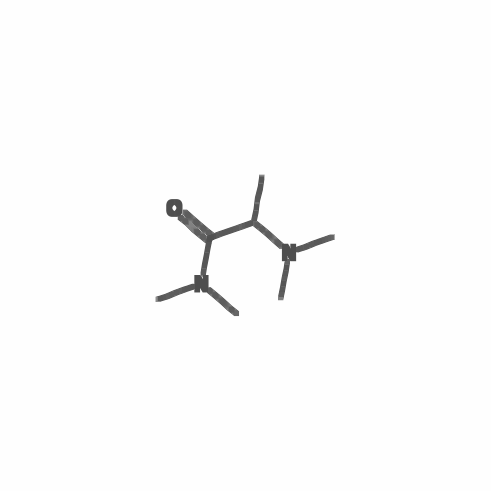 CC(C(=O)N(C)C)N(C)C